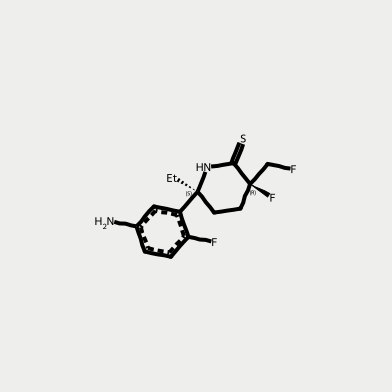 CC[C@@]1(c2cc(N)ccc2F)CC[C@@](F)(CF)C(=S)N1